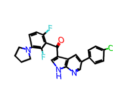 O=C(c1c(F)ccc(N2CCCC2)c1F)c1c[nH]c2ncc(-c3ccc(Cl)cc3)cc12